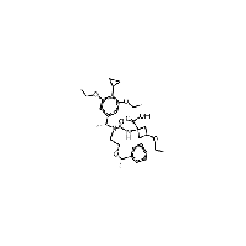 CCOc1cc([C@@H](C)N(CCO[C@@H](C)c2ccccc2)C(=O)N[C@]2(C(=O)O)C[C@H](OCC)C2)cc(OCC)c1C1CC1